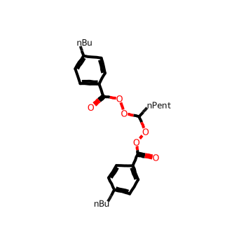 [CH2]CCCC[C](OOC(=O)c1ccc(CCCC)cc1)OOC(=O)c1ccc(CCCC)cc1